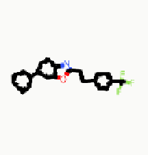 FC(F)(F)c1ccc(C=Cc2nc3ccc(-c4ccccc4)cc3o2)cc1